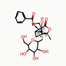 C[C@]12C[C@@H](O)C3C[C@@]1(CC1OC(CO)C(O)C(O)C1O)[C@@]3(COC(=O)c1ccccc1)C(=O)O2